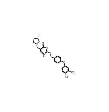 O=c1nc(SCc2ccc(Oc3ccc(Cl)c(C(F)(F)F)c3)cc2)[nH]cc1CN1CC[C@H](F)C1